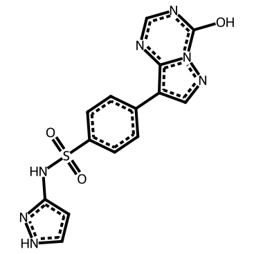 O=S(=O)(Nc1cc[nH]n1)c1ccc(-c2cnn3c(O)ncnc23)cc1